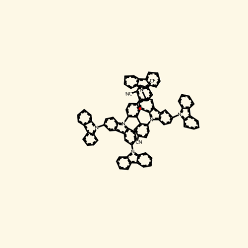 N#Cc1ccc(-n2c3ccc(-n4c5ccccc5c5ccccc54)cc3c3cc(-n4c5ccccc5c5ccccc54)ccc32)c(-c2cc(-c3ccc(C(F)(F)F)cc3C#N)ccc2-n2c3ccc(-n4c5ccccc5c5ccccc54)cc3c3cc(-n4c5ccccc5c5ccccc54)ccc32)c1